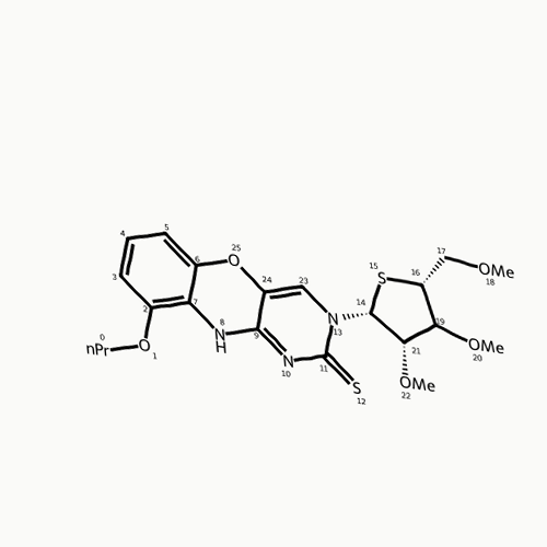 CCCOc1cccc2c1Nc1nc(=S)n([C@@H]3S[C@H](COC)C(OC)[C@@H]3OC)cc1O2